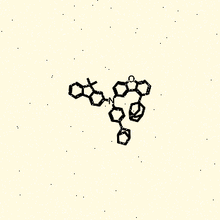 CC1(C)c2ccccc2-c2ccc(N(c3ccc(C4CC5CCC4C5)cc3)c3ccc4oc5cccc(C67CC8CC(C6)C(C8)C7)c5c4c3)cc21